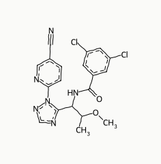 COC(C)C(NC(=O)c1cc(Cl)cc(Cl)c1)c1ncnn1-c1ccc(C#N)cn1